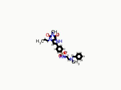 CCCn1c(=O)n(C)c(=O)c2[nH]c(-c3ccc(S(=O)(=O)NCCN(C)Cc4ccccc4)cc3)cc21